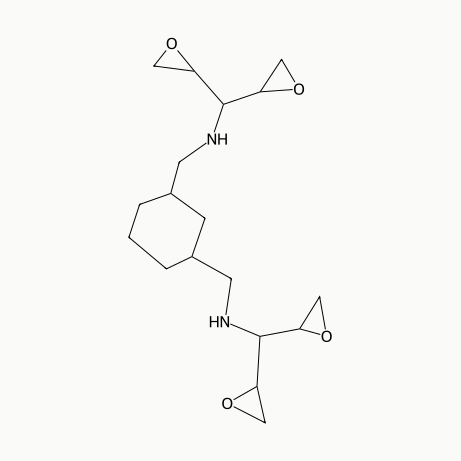 C1CC(CNC(C2CO2)C2CO2)CC(CNC(C2CO2)C2CO2)C1